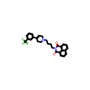 O=C1c2cccc3cccc(c23)C(=O)N1CCCCN1CC=C(c2cccc(C(F)(F)F)c2)CC1